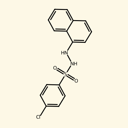 O=S(=O)(NNc1cccc2ccccc12)c1ccc(Cl)cc1